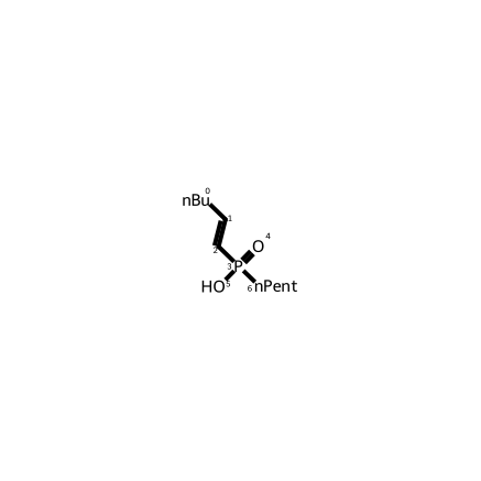 CCCCC=CP(=O)(O)CCCCC